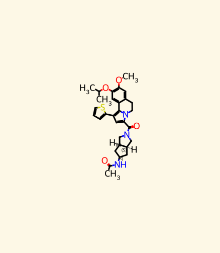 COc1cc2c(cc1OC(C)C)-c1c(-c3cccs3)cc(C(=O)N3C[C@H]4C[C@@H](NC(C)=O)C[C@H]4C3)n1CC2